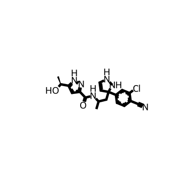 CC(CC1(c2ccc(C#N)c(Cl)c2)C=CNN1)NC(=O)c1cc([C@H](C)O)[nH]n1